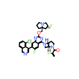 C=C(F)C(=O)N1CC[C@@H]2[C@H]1CN2c1nc(OC[C@@]23CCCN2C[C@H](F)C3)nc2cc(-c3cncc4cccc(Cl)c34)c(F)cc12